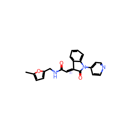 Cc1ccc(CNC(=O)/C=C2/C(=O)N(c3ccncc3)c3ccccc32)o1